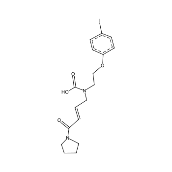 O=C(O)N(CC=CC(=O)N1CCCC1)CCOc1ccc(I)cc1